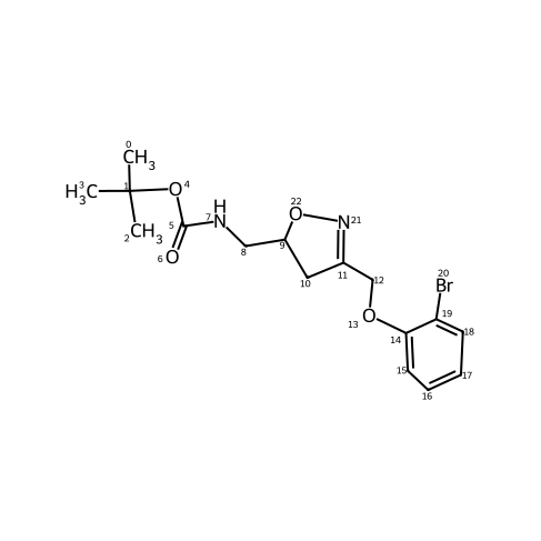 CC(C)(C)OC(=O)NCC1CC(COc2ccccc2Br)=NO1